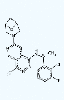 Cc1nnc(N[C@H](C)c2cccc(F)c2Cl)c2cc(N3CC4CC(C3)O4)ncc12